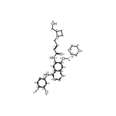 O=C(/C=C/CN1CCC1CO)Nc1cc2c(Nc3ccc(F)c(Cl)c3)ncnc2cc1OC[C@H]1COCCO1